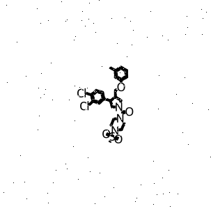 Cc1cccc(OCC2CN(C(=O)N3CCN(S(C)(=O)=O)CC3)CC2c2ccc(Cl)c(Cl)c2)c1